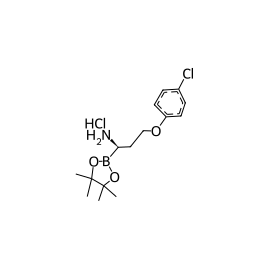 CC1(C)OB([C@@H](N)CCOc2ccc(Cl)cc2)OC1(C)C.Cl